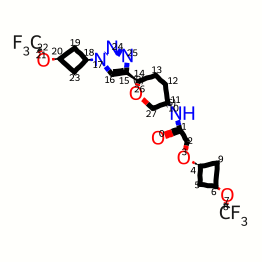 O=C(CO[C@H]1C[C@@H](OC(F)(F)F)C1)N[C@H]1CC[C@H](c2cn([C@H]3C[C@@H](OC(F)(F)F)C3)nn2)OC1